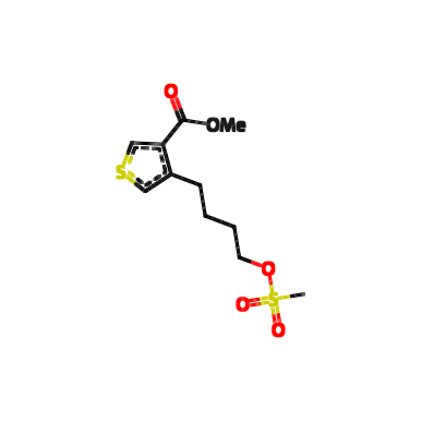 COC(=O)c1cscc1CCCCOS(C)(=O)=O